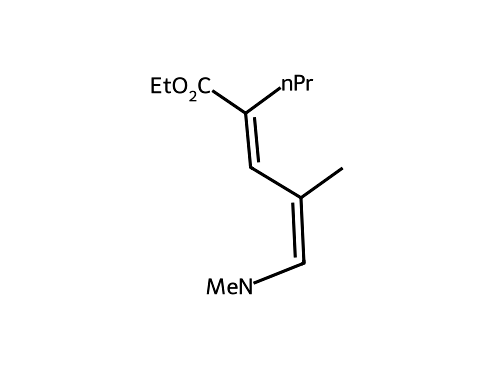 CCC/C(=C\C(C)=C/NC)C(=O)OCC